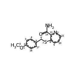 COc1ccc(CSc2cccnc2C(N)=O)cc1